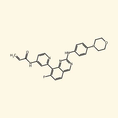 C=CC(=O)Nc1ccnc(-c2c(F)ccc3cnc(Nc4ccc(N5CCOCC5)cc4)nc23)c1